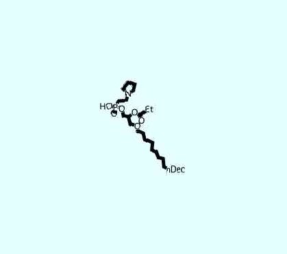 CCCCCCCCCCCCCCCCCCCOCC(COP(=O)(O)CCN1CCCC1)OC(=O)CC